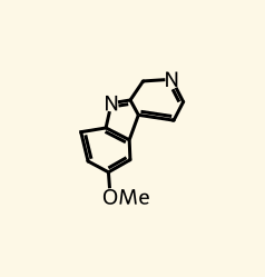 COc1ccc2c(c1)C1=CC=NCC1=N2